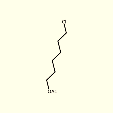 CC(=O)OCCCCCCCl